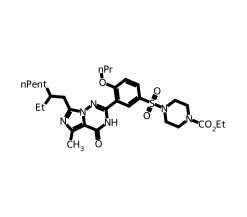 CCCCCC(CC)Cc1nc(C)c2c(=O)[nH]c(-c3cc(S(=O)(=O)N4CCN(C(=O)OCC)CC4)ccc3OCCC)nn12